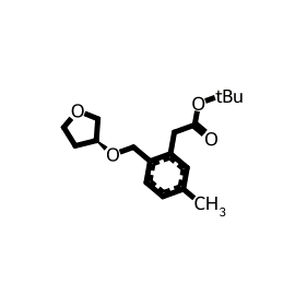 Cc1ccc(CO[C@H]2CCOC2)c(CC(=O)OC(C)(C)C)c1